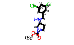 CC(C)(C)OC(=O)N1CC[C@H](NCc2cc(Cl)cc(Cl)c2)C1